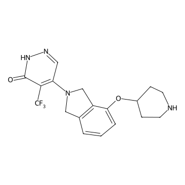 O=c1[nH]ncc(N2Cc3cccc(OC4CCNCC4)c3C2)c1C(F)(F)F